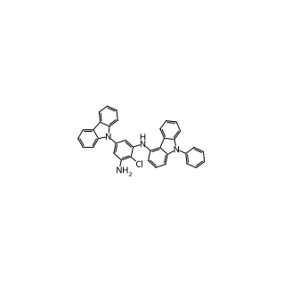 Nc1cc(-n2c3ccccc3c3ccccc32)cc(Nc2cccc3c2c2ccccc2n3-c2ccccc2)c1Cl